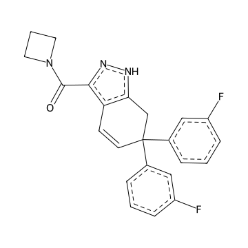 O=C(c1n[nH]c2c1C=CC(c1cccc(F)c1)(c1cccc(F)c1)C2)N1CCC1